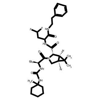 CC1(NC(=O)N[C@H](C(=O)N2C[C@H]3[C@@H]([C@H]2C(=O)NC(CC(F)F)C(=O)NCCc2ccccc2)C3(C)C)C(C)(C)C)CCCCC1